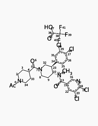 CC(=O)N1CCC(C(=O)N2CC[C@@H](N(C)C(=O)c3cnc(Cl)c(Cl)c3)[C@H](c3ccc(Cl)c(Cl)c3)C2)CC1.O=C(O)C(F)(F)F